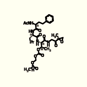 CC(=O)N[C@@H](CCc1ccccc1)C(=O)N[C@@H](CC(C)C)C(=O)N[C@H](C(=O)NCC(=O)[C@@]1(C)CO1)[C@@H](C)OC(=O)OCO[PH](C)=O